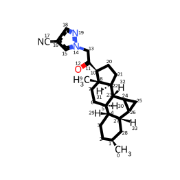 C[C@H]1CC[C@@H]2[C@H]3CC[C@]4(C)[C@@H](C(=O)Cn5cc(C#N)cn5)CC[C@H]4[C@@H]3C3CC3[C@@H]2C1